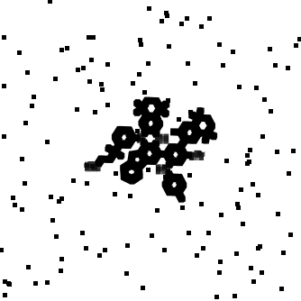 CCCc1cc(Nc2ccc(C)cc2)c(-c2cc3c(c4c2Bc2cc5c(cc2N4c2cccc(C(C)(C)CCC(C)(C)C)c2)C(C)(C)CCC5(C)C)Cc2ccccc2-3)cc1-c1cc2c(cc1C)C(C)(C)CCC2(C)C